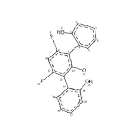 Oc1ccccc1-c1c(F)cc(F)c(-c2ccccc2O)c1Cl